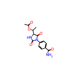 CC(=O)OC(C)C1NC(=O)N(c2ccc(C(N)=O)cc2)C1=O